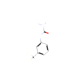 CN(O)C(=O)Nc1cccc(C(F)(F)F)c1